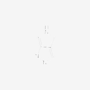 C1=C2CNC=C2N=N1